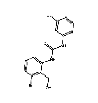 O=C(Nc1cccc(Cl)c1)Nc1cccc(Br)c1CO